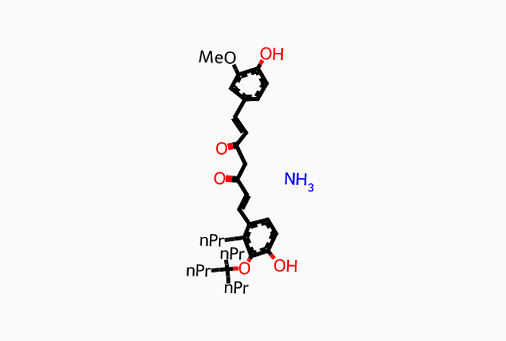 CCCc1c(/C=C/C(=O)CC(=O)/C=C/c2ccc(O)c(OC)c2)ccc(O)c1OC(CCC)(CCC)CCC.N